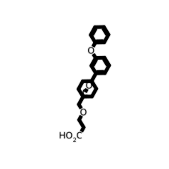 O=C(O)CCOCC12CCC(c3cccc(Oc4ccccc4)c3)(CC1)OC2